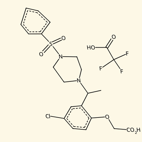 CC(c1cc(Cl)ccc1OCC(=O)O)N1CCN(S(=O)(=O)c2ccccc2)CC1.O=C(O)C(F)(F)F